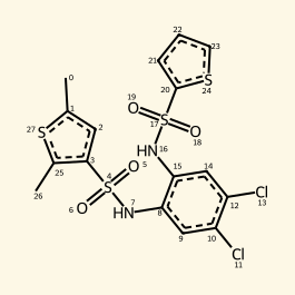 Cc1cc(S(=O)(=O)Nc2cc(Cl)c(Cl)cc2NS(=O)(=O)c2cccs2)c(C)s1